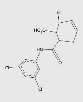 CCC1C=CCC(C(=O)Nc2cc(Cl)cc(Cl)c2)C1C(=O)O